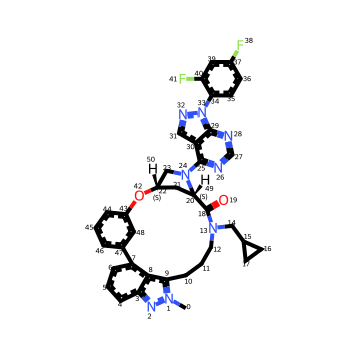 Cn1nc2cccc3c2c1CCCN(CC1CC1)C(=O)[C@@H]1C[C@@H](CN1c1ncnc2c1cnn2-c1ccc(F)cc1F)Oc1cccc-3c1